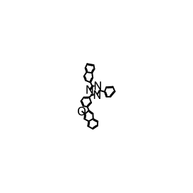 c1ccc(-c2nc(-c3ccc4ccccc4c3)nc(-c3ccc4oc5cc6ccccc6cc5c4c3)n2)cc1